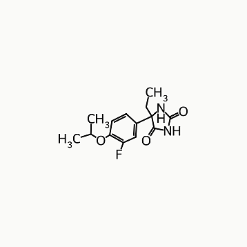 CCC1(c2ccc(OC(C)C)c(F)c2)NC(=O)NC1=O